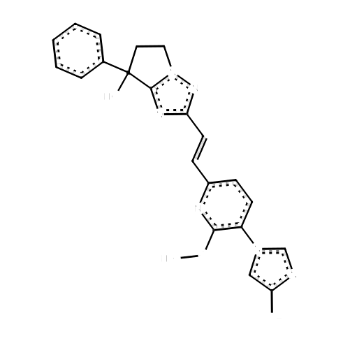 COc1nc(C=Cc2nc3n(n2)CCC3(O)c2ccccc2)ccc1-n1cnc(C)c1